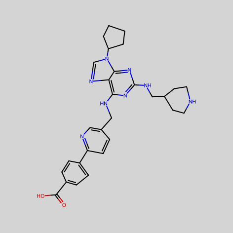 O=C(O)c1ccc(-c2ccc(CNc3nc(NCC4CCNCC4)nc4c3ncn4C3CCCC3)cn2)cc1